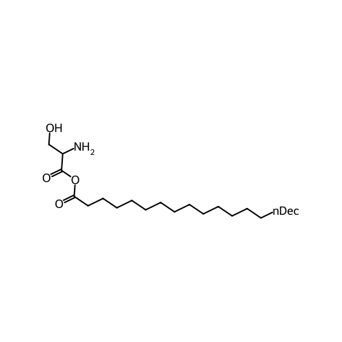 CCCCCCCCCCCCCCCCCCCCCCCC(=O)OC(=O)C(N)CO